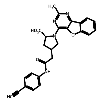 C#Cc1ccc(NC(=O)C[C@H]2C[C@@H](C(=O)O)N(c3nc(C)nc4c3oc3ccccc34)C2)cc1